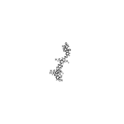 C[C@@H]1CN(c2ncc(C(=O)NC3C(C)(C)C(Oc4ccc(C#N)c(Cl)c4)C3(C)C)cn2)C[C@@H](C)N1CCCOc1ccc2c(c1)C(=O)N(C1CCC(=O)NC1=O)C2=O